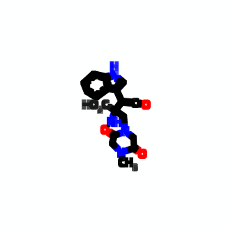 CN1CC(=O)N(CC(N)(C(=O)O)C(=C=O)c2c[nH]c3ccccc23)CC1=O